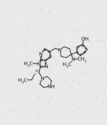 CCC[C@H](c1nc2cc(CN3CCC(c4cccc(O)c4)(N(C)C)CC3)cnc2n1C)N1CCNCC1